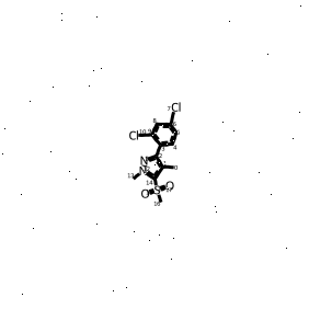 Cc1c(-c2ccc(Cl)cc2Cl)nn(C)c1S(C)(=O)=O